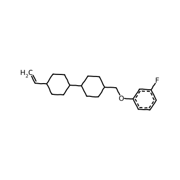 C=CC1CCC(C2CCC(COc3cccc(F)c3)CC2)CC1